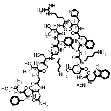 CC(=O)N[C@H](Cc1c[nH]c2ccccc12)C(=O)N[C@@H]1CC(C)CN([C@H](CCCCN)C(=O)N[C@H](Cc2ccccc2)C(=O)N[C@H](Cc2ccccc2)C(=O)N[C@H](CC2=CN=CC2)C(=O)N[C@H](CCCNC(=N)N)C(=O)N[C@@H](C(=O)N[C@H](CS)C(=O)N[C@H](CCCCN)C(=O)N[C@H](CS)C(=O)N[C@@H](C(=O)NCC(=O)N[C@H](CC(N)=O)C(=O)N[C@H](Cc2ccccc2)C(=O)N[C@H](C)C(=O)O)[C@H](C)O)[C@H](C)O)C1=O